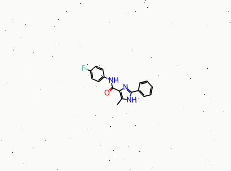 Cc1[nH]c(-c2ccccc2)nc1C(=O)Nc1ccc(F)cc1